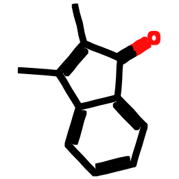 CC1=C(C)c2ccccc2C1=O